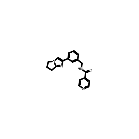 O=C(NCc1cccc(-c2cn3c(n2)CCC3)c1)c1ccncc1